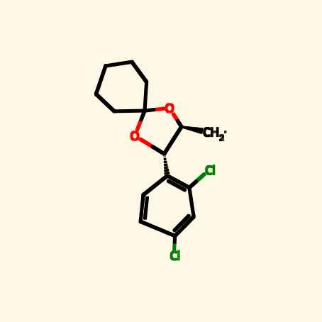 [CH2][C@@H]1OC2(CCCCC2)O[C@H]1c1ccc(Cl)cc1Cl